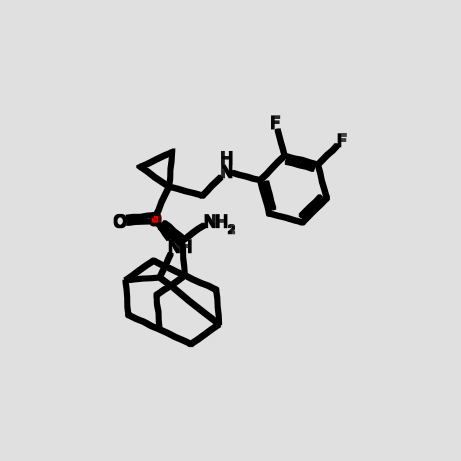 NC(=O)C12CC3CC(C1)C(NC(=O)C1(CNc4cccc(F)c4F)CC1)C(C3)C2